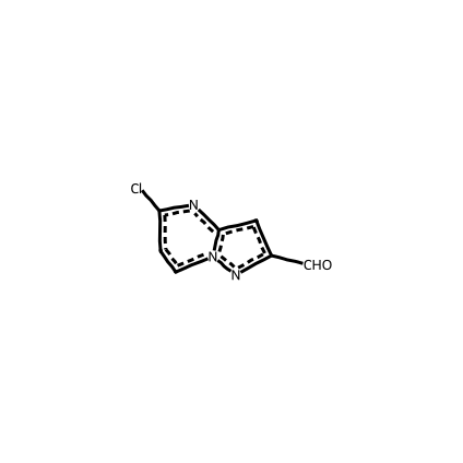 O=Cc1cc2nc(Cl)ccn2n1